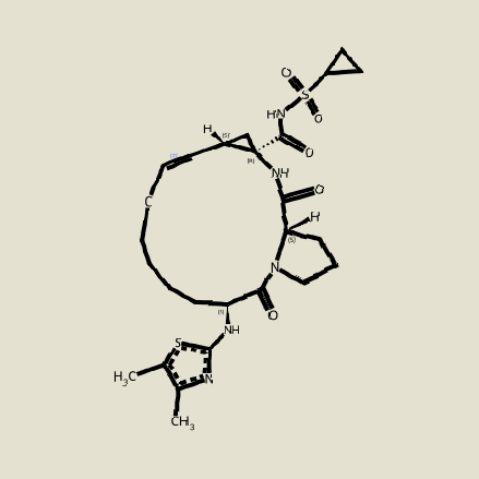 Cc1nc(N[C@H]2CCCCC/C=C\[C@@H]3C[C@@]3(C(=O)NS(=O)(=O)C3CC3)NC(=O)[C@@H]3CCCN3C2=O)sc1C